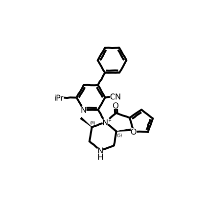 CC(C)c1cc(-c2ccccc2)c(C#N)c([N+]2(C(=O)c3ccco3)[C@H](C)CNC[C@@H]2C)n1